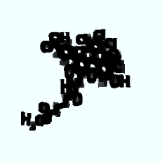 COC(=O)CCCCC(=O)NCc1c2oc3cc(O)c(Cl)cc3c(-c3c(Cl)c(Cl)c(Cl)c(Cl)c3C(=O)O)c-2cc(-c2ccc(C(=O)O)cc2)c1=O